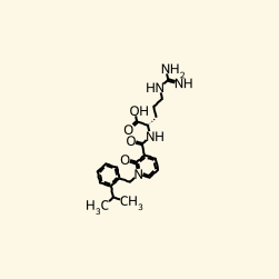 CC(C)c1ccccc1Cn1cccc(C(=O)N[C@@H](CCCNC(=N)N)C(=O)O)c1=O